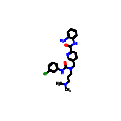 CN(C)CCCN(Cc1ccc(C(=O)Nc2ccccc2N)nc1)C(=O)Nc1cccc(Cl)c1